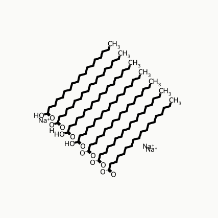 CCCCCCCCCCCCCCCCCC(=O)O.CCCCCCCCCCCCCCCCCC(=O)O.CCCCCCCCCCCCCCCCCC(=O)O.CCCCCCCCCCCCCCCCCC(=O)O.CCCCCCCCCCCCCCCCCC(=O)[O-].CCCCCCCCCCCCCCCCCC(=O)[O-].CCCCCCCCCCCCCCCCCC(=O)[O-].[Na+].[Na+].[Na+]